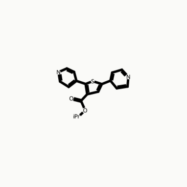 CC(C)OC(=O)c1cc(-c2ccncc2)sc1-c1ccncc1